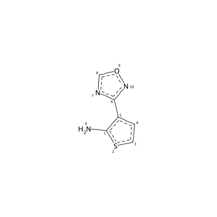 Nc1sccc1-c1ncon1